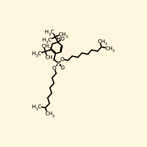 CC(C)CCCCCCCOP(=O)(CC1=C(C(C)(C)C)CC(O)(C(C)(C)C)C=C1)OCCCCCCCC(C)C